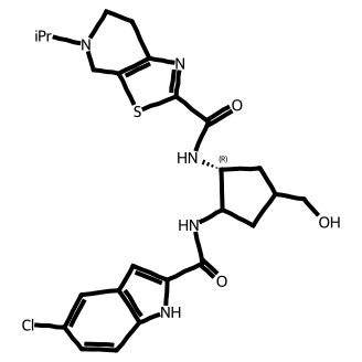 CC(C)N1CCc2nc(C(=O)N[C@@H]3CC(CO)CC3NC(=O)c3cc4cc(Cl)ccc4[nH]3)sc2C1